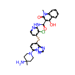 Cn1c(=O)c(C(=O)Nc2nccc(Sc3ccc(N4CCC(C)(N)CC4)n4ncnc34)c2Cl)c(O)c2ccccc21